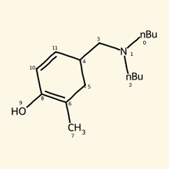 CCCCN(CCCC)CC1[CH]C(C)=C(O)C=C1